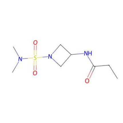 CCC(=O)NC1CN(S(=O)(=O)N(C)C)C1